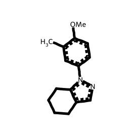 COc1ccc(-n2ncc3c2CCCC3)cc1C